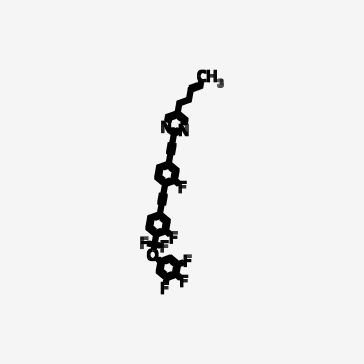 C/C=C/CCc1cnc(C#Cc2ccc(C#Cc3ccc(C(F)(F)Oc4cc(F)c(F)c(F)c4)c(F)c3)c(F)c2)nc1